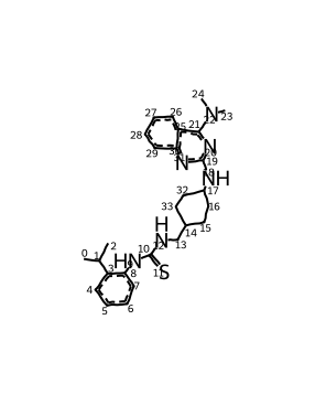 CC(C)c1ccccc1NC(=S)NCC1CCC(Nc2nc(N(C)C)c3ccccc3n2)CC1